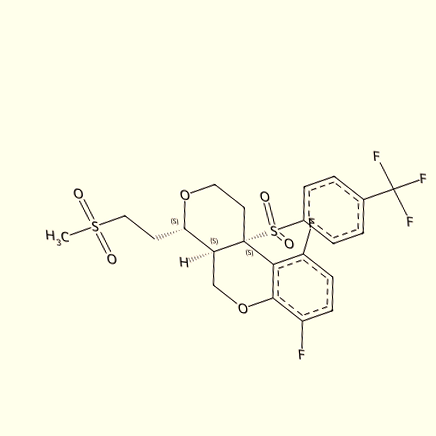 CS(=O)(=O)CC[C@@H]1OCC[C@@]2(S(=O)(=O)c3ccc(C(F)(F)F)cc3)c3c(F)ccc(F)c3OC[C@@H]12